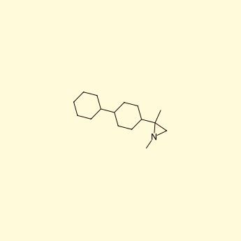 CN1CC1(C)C1CCC(C2CCCCC2)CC1